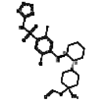 CC1(OC=O)CCN([C@H]2CCCC[C@@H]2Nc2cc(F)c(S(=O)(=O)Nc3nccs3)cc2Cl)CC1